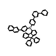 c1ccc(-c2cccc(-c3ccc(N(c4ccc(-c5ccc6ccccc6c5)cc4)c4cccc5c4-c4ccccc4C5(c4ccccc4)c4ccccc4)cc3)c2)cc1